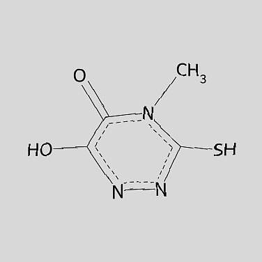 Cn1c(S)nnc(O)c1=O